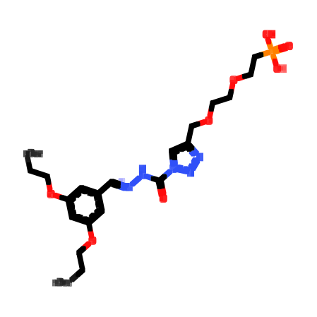 CCCCCCCCCCCCOc1cc(/C=N/NC(=O)n2cc(COCCOCCP(=O)(O)O)nn2)cc(OCCCCCCCCCCCC)c1